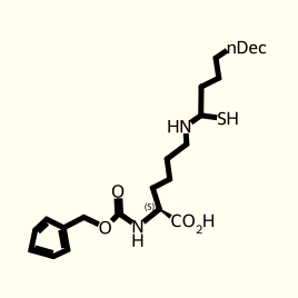 CCCCCCCCCCCCCC(S)NCCCC[C@H](NC(=O)OCc1ccccc1)C(=O)O